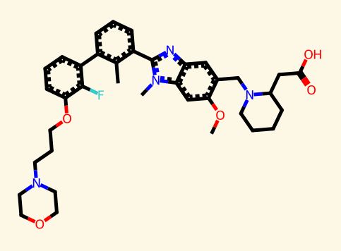 COc1cc2c(cc1CN1CCCCC1CC(=O)O)nc(-c1cccc(-c3cccc(OCCCN4CCOCC4)c3F)c1C)n2C